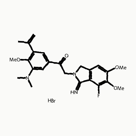 Br.C=C(C)c1cc(C(=O)CN2Cc3cc(OC)c(OC)c(F)c3C2=N)cc(N(C)C)c1OC